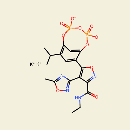 CCNC(=O)c1noc(-c2cc(C(C)C)c3cc2OP(=O)([O-])OP(=O)([O-])O3)c1-c1noc(C)n1.[K+].[K+]